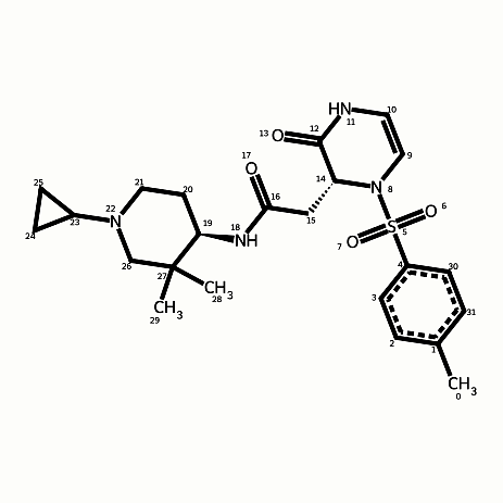 Cc1ccc(S(=O)(=O)N2C=CNC(=O)[C@H]2CC(=O)N[C@@H]2CCN(C3CC3)CC2(C)C)cc1